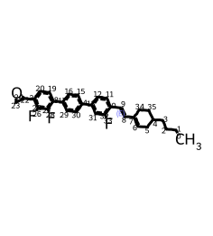 CCCCC1CC=C(/C=C/c2ccc(-c3ccc(-c4ccc(C5CO5)c(F)c4F)cc3)cc2F)CC1